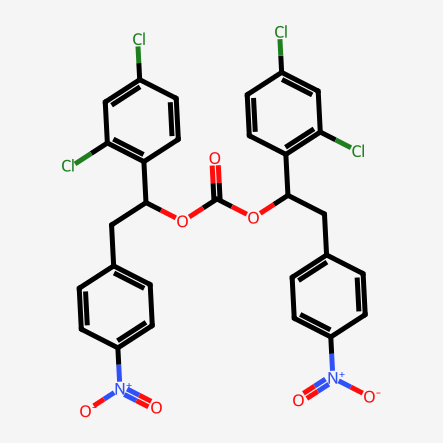 O=C(OC(Cc1ccc([N+](=O)[O-])cc1)c1ccc(Cl)cc1Cl)OC(Cc1ccc([N+](=O)[O-])cc1)c1ccc(Cl)cc1Cl